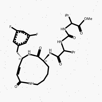 COC(=O)C(NC(=O)NC(C(=O)N[C@H]1CCCCNC(=O)C=C[C@H](Cc2cc(F)cc(F)c2)NC1=O)C(C)C)C(C)C